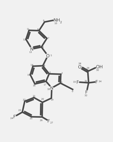 Cc1cc2c(Oc3cc(CN)ccn3)cccc2n1Cc1ccc(F)cc1F.O=C(O)C(F)(F)F